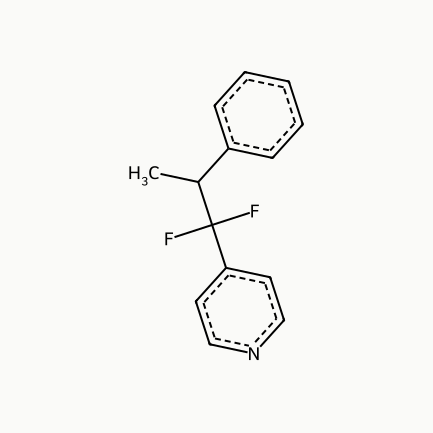 CC(c1ccccc1)C(F)(F)c1ccncc1